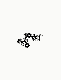 CCNCc1cncc(-c2ccc3[nH]nc(-c4nc(-c5ccccc5)c(C(=O)N5CCCC5)[nH]4)c3c2)c1C